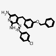 Nc1cc(Cc2cccc(OCc3ccccc3)c2)c(/N=N/c2ccc(Cl)cc2)c(N)n1